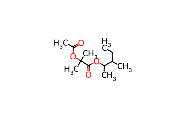 CCC(C)C(C)OC(=O)C(C)(C)OC(C)=O